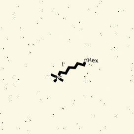 CCCCCCCCCCCC[N+](C)(C)C.[I-]